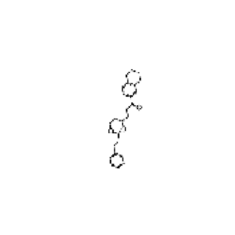 O=C(CCC1CCOC(CCc2ccccc2)O1)c1ccc2c(c1)CCCC2